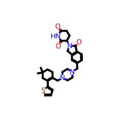 CC1(C)CCC(CN2CCN(Cc3ccc4c(c3)CN(C3CCC(=O)NC3=O)C4=O)CC2)=C(c2cccs2)C1